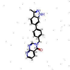 CC1=NNC2C=C(c3ccc(Cn4cnc5ncccc5c4=O)cc3)C=CC12